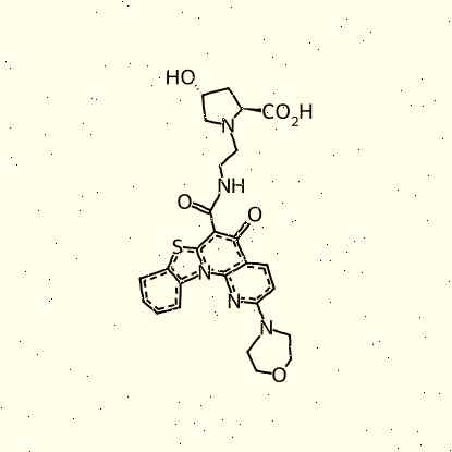 O=C(NCCN1C[C@H](O)C[C@H]1C(=O)O)c1c(=O)c2ccc(N3CCOCC3)nc2n2c1sc1ccccc12